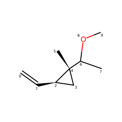 C=C[C@@H]1C[C@@]1(C)C(C)OC